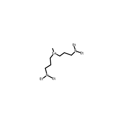 CCN(CC)CC[CH2][Ga]([CH3])[CH2]CCN(CC)CC